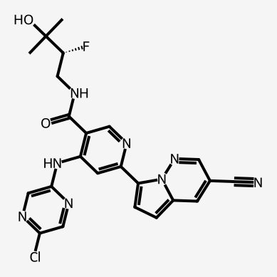 CC(C)(O)[C@H](F)CNC(=O)c1cnc(-c2ccc3cc(C#N)cnn23)cc1Nc1cnc(Cl)cn1